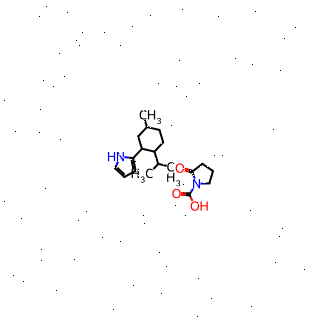 CC1CCC(C(C)C)C(c2ccc[nH]2)C1.O=C(O)N1CCCC1=O